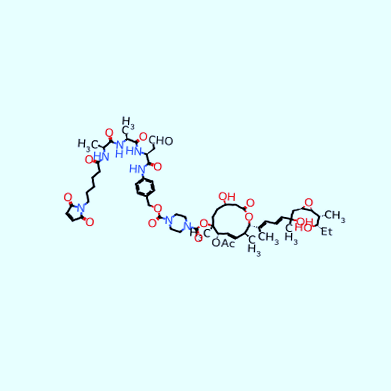 CC[C@H](O)[C@@H](C)[C@H]1O[C@@H]1CC(C)(O)/C=C/C=C(\C)[C@H]1OC(=O)C[C@H](O)CC[C@@](C)(OC(=O)N2CCN(C(=O)OCc3ccc(NC(=O)[C@H](CC=O)NC(=O)[C@H](C)NC(=O)[C@H](C)NC(=O)CCCCCN4C(=O)C=CC4=O)cc3)CC2)[C@@H](OC(C)=O)/C=C/[C@@H]1C